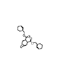 O=C(OCC1C=CCCC1)C1CC2OC2CC1C(=O)OCC1C=CCCC1